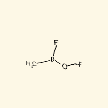 CB(F)OF